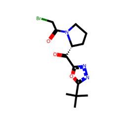 CC(C)(C)c1nnc(C(=O)[C@H]2CCCN2C(=O)CBr)o1